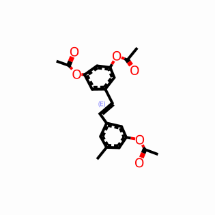 CC(=O)Oc1cc(C)cc(/C=C/c2cc(OC(C)=O)cc(OC(C)=O)c2)c1